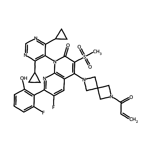 C=CC(=O)N1CC2(C1)CN(c1c(S(C)(=O)=O)c(=O)n(-c3c(C4CC4)ncnc3C3CC3)c3nc(-c4c(O)cccc4F)c(F)cc13)C2